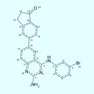 Nc1nc(Nc2cccc(Br)c2)c2cc(-c3ccc4c(c3)CCC4=O)ccc2n1